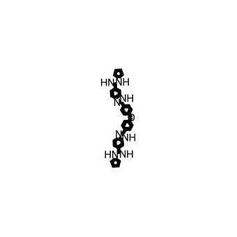 N=C(NC1CCCC1)c1ccc2nc(-c3ccc(Oc4ccc(-c5nc6ccc(C(=N)NC7CCCC7)cc6[nH]5)cc4)cc3)[nH]c2c1